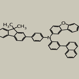 CC1(C)c2ccccc2-c2ccc(-c3ccc(N(c4cccc(-c5cccc6ccccc56)c4)c4ccc5oc6ccccc6c5c4)cc3)cc21